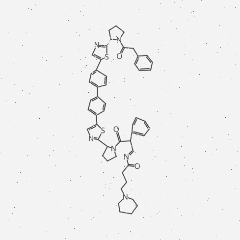 O=C(CCCN1CCCCC1)/N=C/C(C(=O)N1CCCC1c1ncc(-c2ccc(-c3ccc(-c4cnc([C@@H]5CCCN5C(=O)Cc5ccccc5)s4)cc3)cc2)s1)c1ccccc1